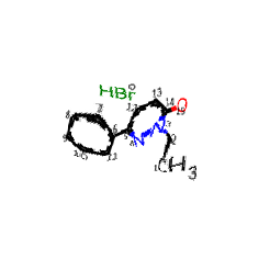 Br.CCn1nc(-c2ccccc2)ccc1=O